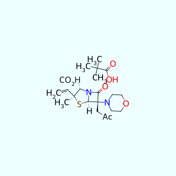 C=C[C@]1(C)S[C@H]2N(C(=O)[C@]2(CC(C)=O)N2CCOCC2)[C@H]1C(=O)O.CC(C)(C)C(=O)O